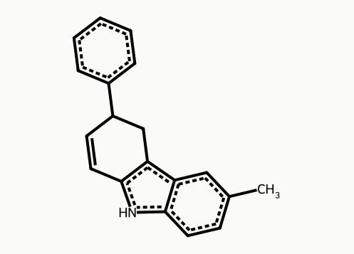 Cc1ccc2[nH]c3c(c2c1)CC(c1ccccc1)C=C3